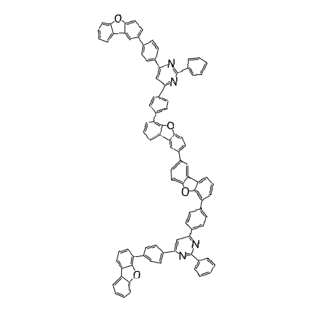 c1ccc(-c2nc(-c3ccc(-c4ccc5oc6ccccc6c5c4)cc3)cc(-c3ccc(-c4cccc5c4oc4ccc(-c6ccc7oc8c(-c9ccc(-c%10cc(-c%11ccc(-c%12cccc%13c%12oc%12ccccc%12%13)cc%11)nc(-c%11ccccc%11)n%10)cc9)cccc8c7c6)cc45)cc3)n2)cc1